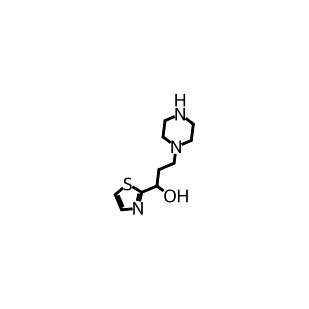 OC(CCN1CCNCC1)c1nccs1